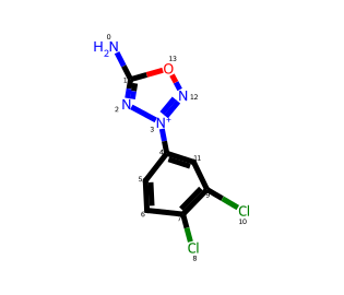 Nc1n[n+](-c2ccc(Cl)c(Cl)c2)no1